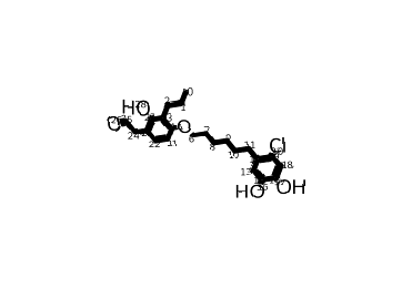 CCCc1c(OCCCCCCc2cc(O)c(O)cc2Cl)ccc(CC=O)c1O